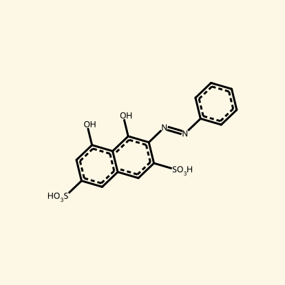 O=S(=O)(O)c1cc(O)c2c(O)c(N=Nc3ccccc3)c(S(=O)(=O)O)cc2c1